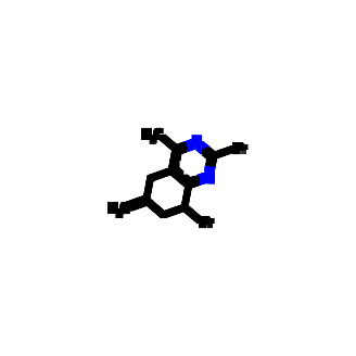 C=C1Cc2c(C)nc(C(C)C)nc2C(C(C)C)C1